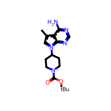 Cc1cn(C2CCN(C(=O)OC(C)(C)C)CC2)c2ncnc(N)c12